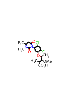 COC(=C(C)C(=O)O)C(C)Oc1cc(-n2c(=O)cc(C(F)(F)F)n(C)c2=O)c(Cl)cc1Cl